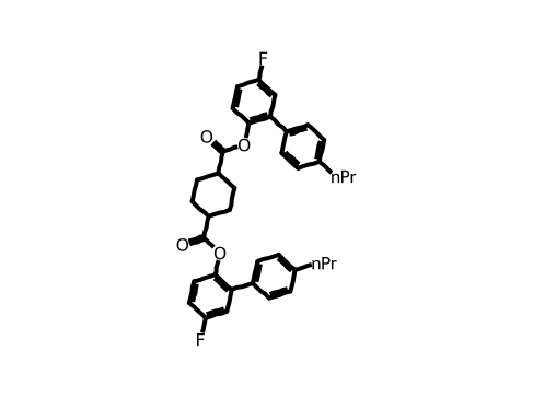 CCCc1ccc(-c2cc(F)ccc2OC(=O)C2CCC(C(=O)Oc3ccc(F)cc3-c3ccc(CCC)cc3)CC2)cc1